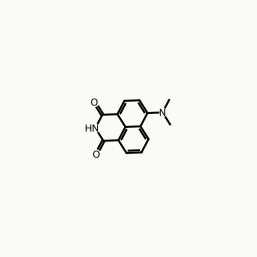 CN(C)c1ccc2c3c(cccc13)C(=O)NC2=O